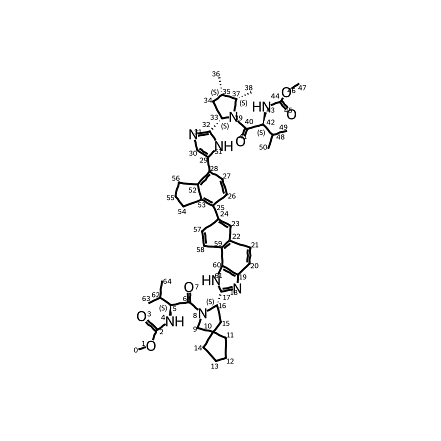 COC(=O)N[C@H](C(=O)N1CC2(CCCC2)C[C@H]1c1nc2ccc3cc(-c4ccc(-c5cnc([C@@H]6C[C@H](C)[C@H](C)N6C(=O)[C@@H](NC(=O)OC)C(C)C)[nH]5)c5c4CCC5)ccc3c2[nH]1)C(C)C